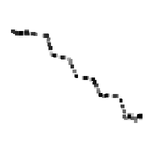 CCCC(C)CCCCCCCC(=O)O